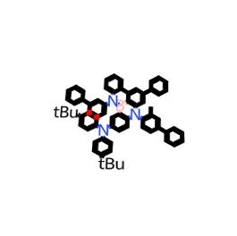 Cc1cc(-c2ccccc2)ccc1N1c2ccc(N(c3ccc(C(C)(C)C)cc3)c3ccc(C(C)(C)C)cc3)cc2B2c3c(cc(-c4ccccc4)cc31)-c1ccccc1N2c1cccc(-c2ccccc2)c1